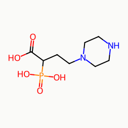 O=C(O)C(CCN1CCNCC1)P(=O)(O)O